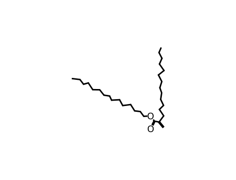 C=C(CCCCCCCCCCCCC)C(=O)OCCCCCCCCCCCCCCC